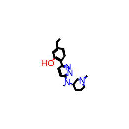 CCc1ccc(-c2ccc(N(C)[C@@H]3CCCN(C)C3)nn2)c(O)c1